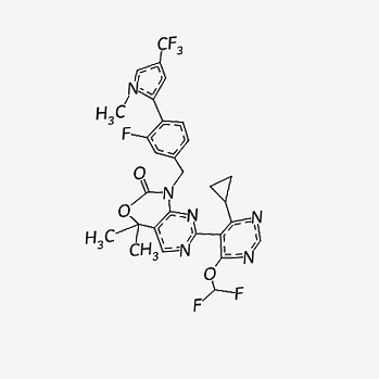 Cn1cc(C(F)(F)F)cc1-c1ccc(CN2C(=O)OC(C)(C)c3cnc(-c4c(OC(F)F)ncnc4C4CC4)nc32)cc1F